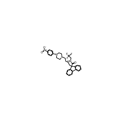 O=C(NCC(F)(F)F)C1(CCCCN2CCN(c3ccc([N+](=O)[O-])cc3)CC2)c2ccccc2-c2ccccc21